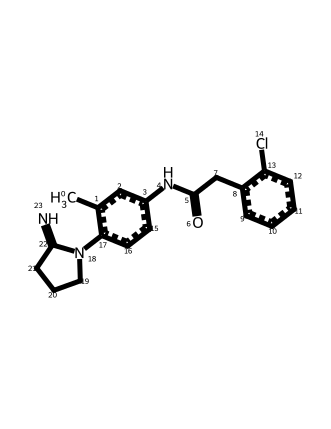 Cc1cc(NC(=O)Cc2ccccc2Cl)ccc1N1CCCC1=N